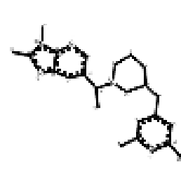 Cc1cc(CC2CCCN(C(C)c3cnc4c(c3)nc(C)n4C)C2)cc(C)n1